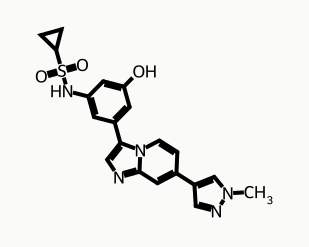 Cn1cc(-c2ccn3c(-c4cc(O)cc(NS(=O)(=O)C5CC5)c4)cnc3c2)cn1